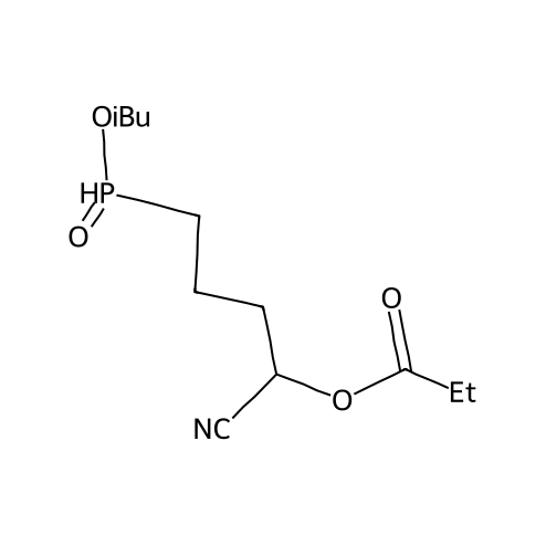 CCC(=O)OC(C#N)CCC[PH](=O)OCC(C)C